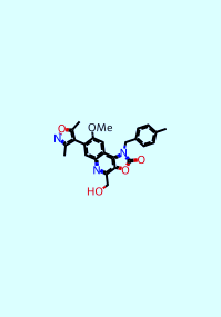 COc1cc2c(cc1-c1c(C)noc1C)nc(CO)c1oc(=O)n(Cc3ccc(C)cc3)c12